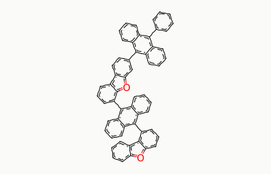 c1ccc(-c2c3ccccc3c(-c3ccc4c(c3)oc3c(-c5c6ccccc6c(-c6cccc7oc8ccccc8c67)c6ccccc56)cccc34)c3ccccc23)cc1